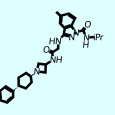 Cc1ccc2c(c1)c(NCC(=O)NC1CN([C@H]3CC[C@@H](c4ccccc4)CC3)C1)nn2C(=O)NC(C)C